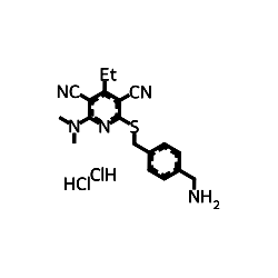 CCc1c(C#N)c(SCc2ccc(CN)cc2)nc(N(C)C)c1C#N.Cl.Cl